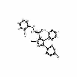 Cn1nc(-c2ccc(F)cc2)c(-c2ccncc2)c1C(=O)NCc1ccccc1Cl